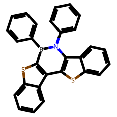 c1ccc(B2c3sc4ccccc4c3-c3sc4ccccc4c3N2c2ccccc2)cc1